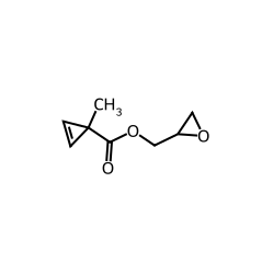 CC1(C(=O)OCC2CO2)C=C1